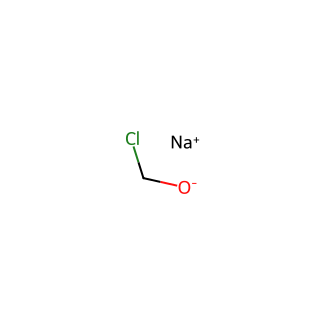 [Na+].[O-]CCl